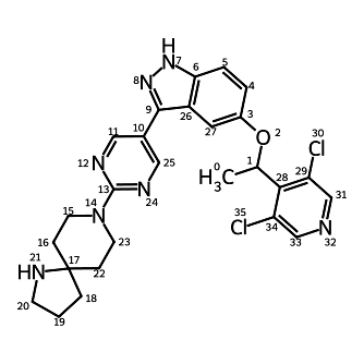 CC(Oc1ccc2[nH]nc(-c3cnc(N4CCC5(CCCN5)CC4)nc3)c2c1)c1c(Cl)cncc1Cl